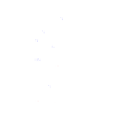 O=C(Cn1c(=O)oc2ccccc21)Nc1nnc(-c2ccccn2)[nH]1